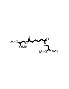 COC(COC(=O)CCCCC(=O)OCC(OC)OC)OC